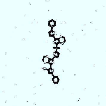 CC(C)(c1ccc(-c2sc(-c3sc(-c4ccccc4)cc3O)c3c2OCCO3)s1)c1sc(-c2ccc(-c3ccccc3)s2)c2c1OCCO2